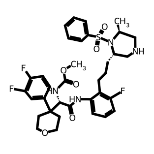 COC(=O)N[C@H](C(=O)Nc1cccc(F)c1CCC[C@H]1CNC[C@H](C)N1S(=O)(=O)c1ccccc1)C1(c2ccc(F)c(F)c2)CCOCC1